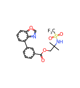 CC(C)(COC(=O)c1cccc(-c2cccc3ocnc23)c1)NS(=O)(=O)C(F)(F)F